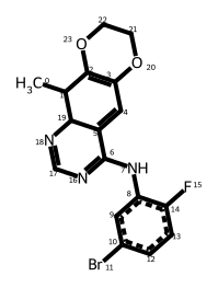 CC1C2=C(C=C3C(Nc4cc(Br)ccc4F)=NC=NC31)OCCO2